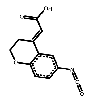 O=C=Nc1ccc2c(c1)C(=CC(=O)O)CCO2